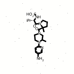 CC(C)[C@H](NC(=O)O)C(=O)N1CCCC1(C)C(=O)N1CCN(c2ccc(N)cn2)C(C)C1